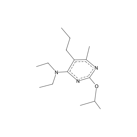 CCCc1c(C)nc(OC(C)C)nc1N(CC)CC